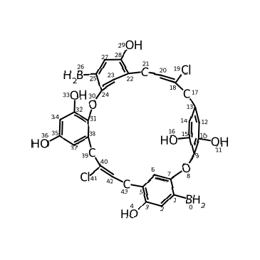 Bc1cc(O)c2cc1Oc1c(O)cc(cc1O)C/C(Cl)=C\Cc1cc(c(B)cc1O)Oc1c(O)cc(O)cc1C/C(Cl)=C\C2